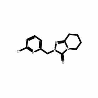 O=c1n(Cc2cccc(Cl)n2)nc2n1CCCC2